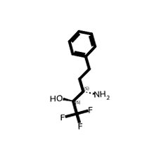 N[C@@H](CCc1ccccc1)[C@H](O)C(F)(F)F